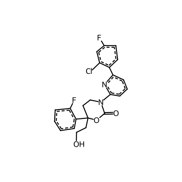 O=C1OC(CCO)(c2ccccc2F)CCN1c1cccc(-c2ccc(F)cc2Cl)n1